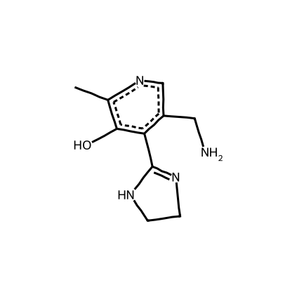 Cc1ncc(CN)c(C2=NCCN2)c1O